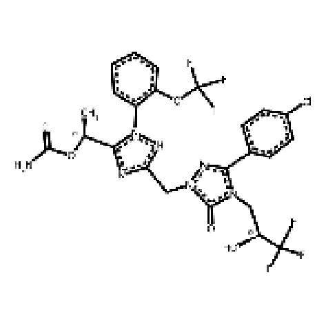 C[C@H](OC(N)=O)c1nc(Cn2nc(-c3ccc(Cl)cc3)n(C[C@H](O)C(F)(F)F)c2=O)nn1-c1ccccc1OC(F)(F)F